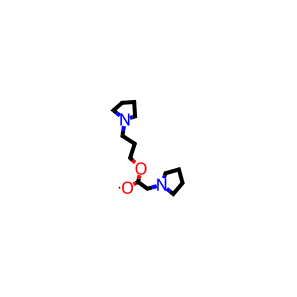 [O]C(CN1CCCC1)OCCCN1CCCC1